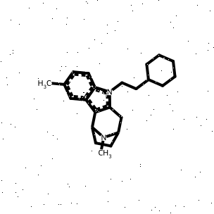 Cc1ccc2c(c1)c1c(n2CCC2CCCCC2)CC2CCC1N2C